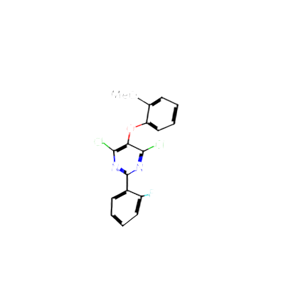 COc1ccccc1Oc1c(Cl)nc(-c2ccccc2F)nc1Cl